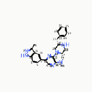 Cc1n[nH]c2ccc(-c3cnc(N(C)C)c(N4CCN[C@@H](Cc5ccccc5)C4)n3)cc12